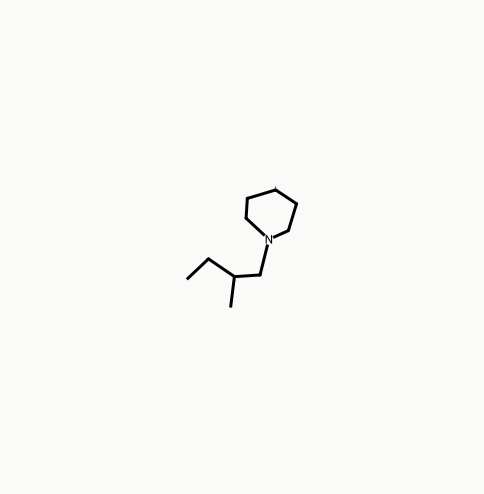 CCC(C)CN1CC[CH]CC1